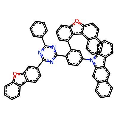 c1ccc(-c2nc(-c3ccc4c(c3)oc3ccccc34)nc(-c3ccc(-n4c5ccccc5c5cc6ccccc6cc54)cc3-c3cccc4oc5ccc6ccccc6c5c34)n2)cc1